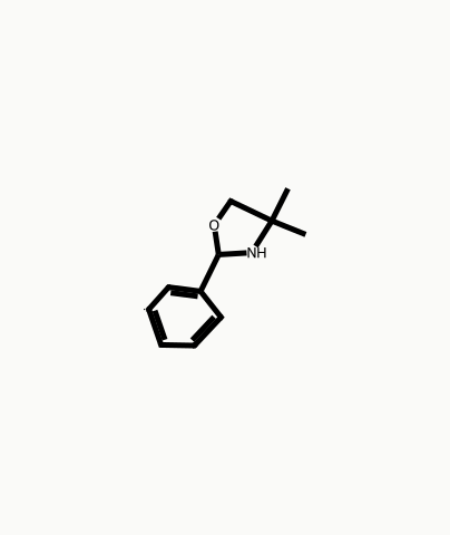 CC1(C)COC(c2c[c]ccc2)N1